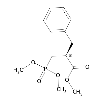 COC(=O)[C@H](Cc1ccccc1)CP(=O)(OC)OC